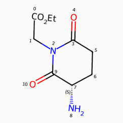 CCOC(=O)CN1C(=O)CC[C@H](N)C1=O